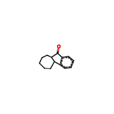 O=C1c2ccccc2C2CCCCCC12